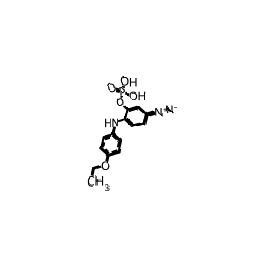 CCOc1ccc(NC2=CCC(=[N+]=[N-])C=C2OP(=O)(O)O)cc1